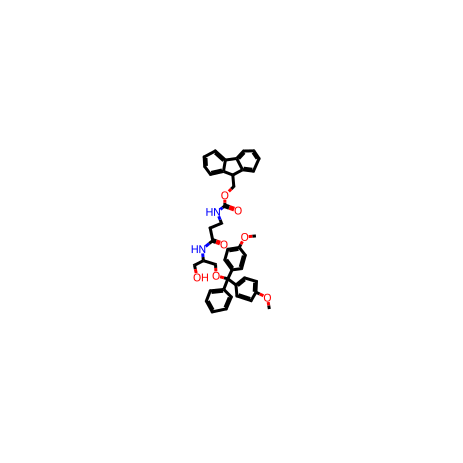 COc1ccc(C(OCC(CO)NC(=O)CCNC(=O)OCC2c3ccccc3-c3ccccc32)(c2ccccc2)c2ccc(OC)cc2)cc1